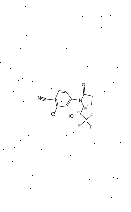 N#Cc1ccc(N2C(=O)CC[C@@H]2[C@@H](O)C(F)(F)F)cc1Cl